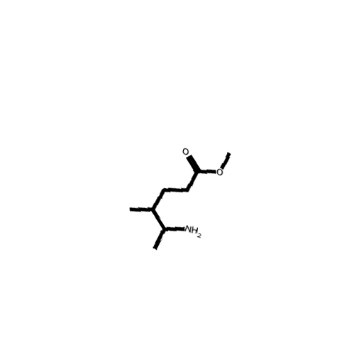 COC(=O)CCC(C)C(C)N